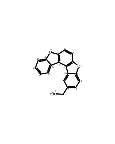 CC(C)(C)Cc1ccc2oc3ccc4oc5ccccc5c4c3c2c1